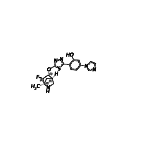 C[C@]12C[C@H](CN1)[C@@H](Oc1nnc(-c3ccc(-n4ccnc4)cc3O)s1)[C@@H]2F